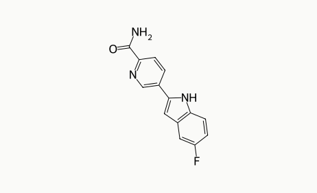 NC(=O)c1ccc(-c2cc3cc(F)ccc3[nH]2)cn1